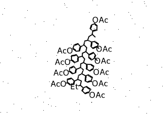 CCC(CC(CC(CC(CC(CC(CC(CC(CC(CC(C)c1ccc(OC(C)=O)cc1)c1ccc(OC(C)=O)cc1)c1ccc(OC(C)=O)cc1)c1ccc(OC(C)=O)cc1)c1ccc(OC(C)=O)cc1)c1ccc(OC(C)=O)cc1)c1ccc(OC(C)=O)cc1)c1ccc(OC(C)=O)cc1)c1ccc(OC(C)=O)cc1)c1ccc(OC(C)=O)cc1